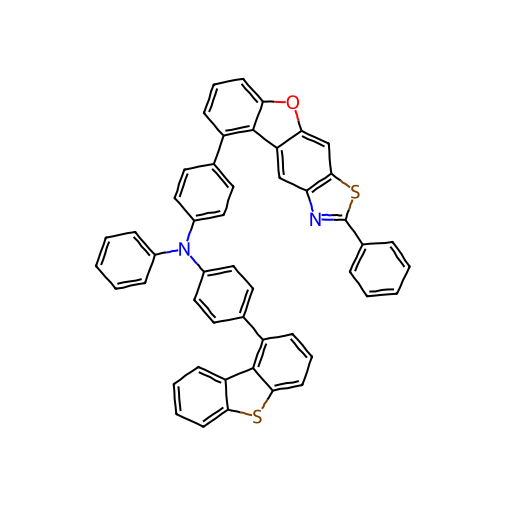 c1ccc(-c2nc3cc4c(cc3s2)oc2cccc(-c3ccc(N(c5ccccc5)c5ccc(-c6cccc7sc8ccccc8c67)cc5)cc3)c24)cc1